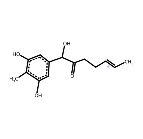 C/C=C/CCC(=O)C(O)c1cc(O)c(C)c(O)c1